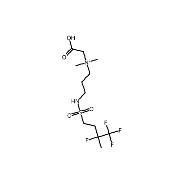 CC(F)(CCS(=O)(=O)NCCC[N+](C)(C)CC(=O)O)C(F)(F)F